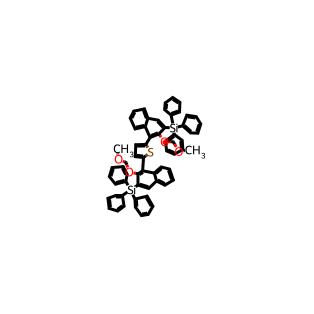 COCOc1c([Si](c2ccccc2)(c2ccccc2)c2ccccc2)cc2ccccc2c1-c1ccc(-c2c(OCOC)c([Si](c3ccccc3)(c3ccccc3)c3ccccc3)cc3ccccc23)s1